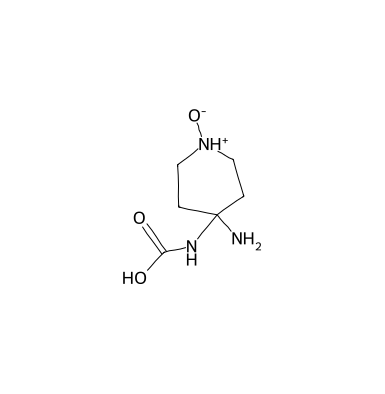 NC1(NC(=O)O)CC[NH+]([O-])CC1